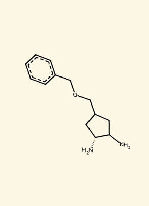 NC1CC(COCc2ccccc2)C[C@H]1N